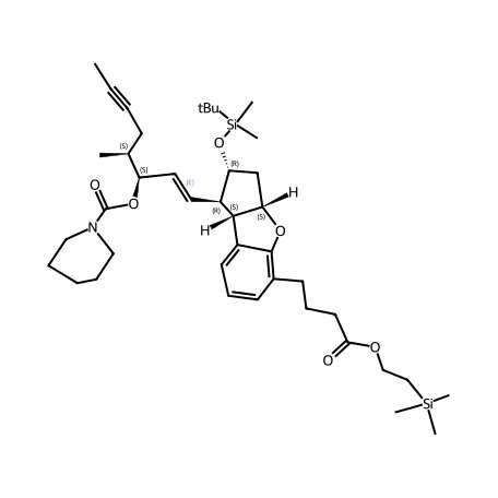 CC#CC[C@H](C)[C@@H](/C=C/[C@@H]1[C@H]2c3cccc(CCCC(=O)OCC[Si](C)(C)C)c3O[C@H]2C[C@H]1O[Si](C)(C)C(C)(C)C)OC(=O)N1CCCCC1